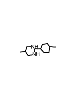 CC1CCC(C2NCC(C)CN2)CC1